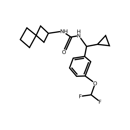 O=C(NC1CC2(CCC2)C1)NC(c1cccc(OC(F)F)c1)C1CC1